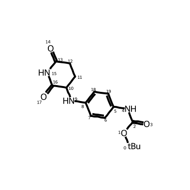 CC(C)(C)OC(=O)Nc1ccc(NC2CCC(=O)NC2=O)cc1